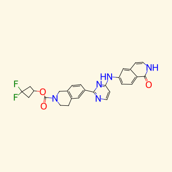 O=C(OC1CC(F)(F)C1)N1CCc2cc(-c3nccc(Nc4ccc5c(=O)[nH]ccc5c4)n3)ccc2C1